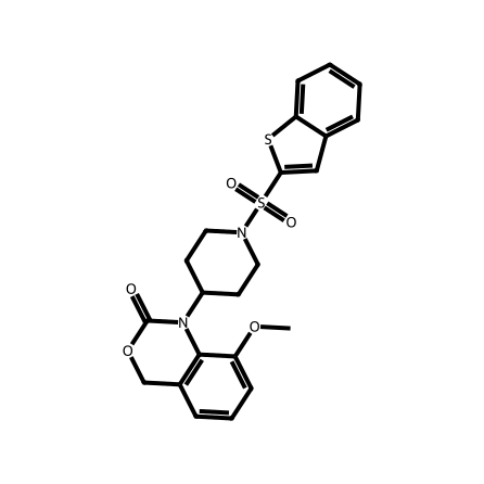 COc1cccc2c1N(C1CCN(S(=O)(=O)c3cc4ccccc4s3)CC1)C(=O)OC2